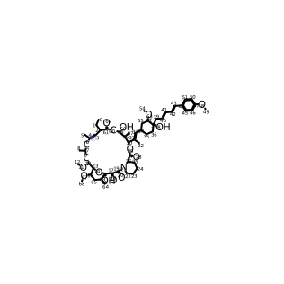 CCC1/C=C(\C)CC(C)CC(OC)C2OC(O)(C(=O)C(=O)N3CCCCC3C(=O)OC(C(C)=CC3CCC(O)(CC=CC=Cc4ccc(OC)cc4)C(OC)C3)C(C)C(O)CC1=O)C(C)CC2OC